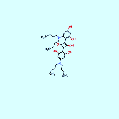 O=C1C(c2c(O)cc(O)cc2N(CCC[SiH3])CCC[SiH3])=C(O)C1c1c(O)cc(N(CCC[SiH3])CCC[SiH3])cc1O